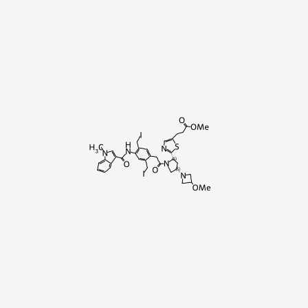 COC(=O)CCc1cnc([C@@H]2C[C@H](N3CC(OC)C3)CN2C(=O)Cc2cc(CI)c(NC(=O)c3cn(C)c4ccccc34)cc2CI)s1